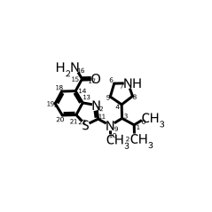 CC(C)C(C1CCNC1)N(C)c1nc2c(C(N)=O)c[c]cc2s1